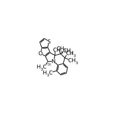 Cc1cccc2c1N1[C@@H](C)c3oc4ccsc4c3C1(C)C(C)(C)C2(C)C